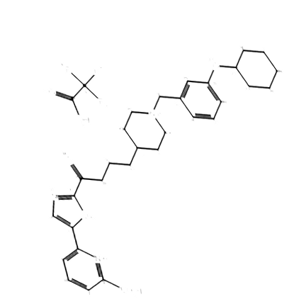 O=C(O)C(F)(F)F.O=C(O)c1cccc(-c2cnc(C(=O)CCCC3CCN(Cc4cccc(OC5CCCCC5)c4)CC3)o2)n1